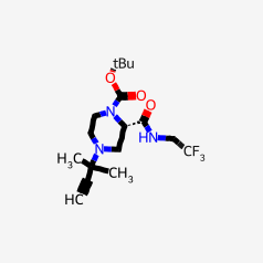 C#CC(C)(C)N1CCN(C(=O)OC(C)(C)C)[C@H](C(=O)NCC(F)(F)F)C1